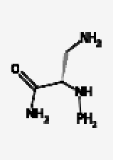 NC[C@H](NP)C(N)=O